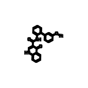 CCOc1cccc(-c2ccccc2NC(=O)c2c[nH]c3ccccc3c2=O)c1